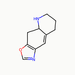 C1=C2CCCNC2Cc2ocnc21